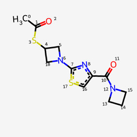 CC(=O)SC1CN(c2nc(C(=O)N3CCC3)cs2)C1